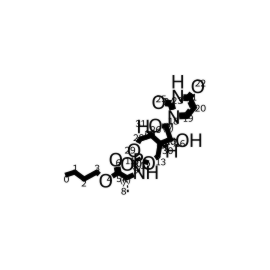 CCCCOC(=O)[C@@H](C)N[P@@]1(=O)OC[C@H]2[C@@H](O)[C@H](n3ccc(=O)[nH]c3=O)O[C@@H]2CO1